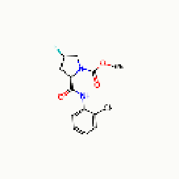 CC(C)(C)OC(=O)N1C[C@H](F)C[C@@H]1C(=O)Nc1ccccc1C#N